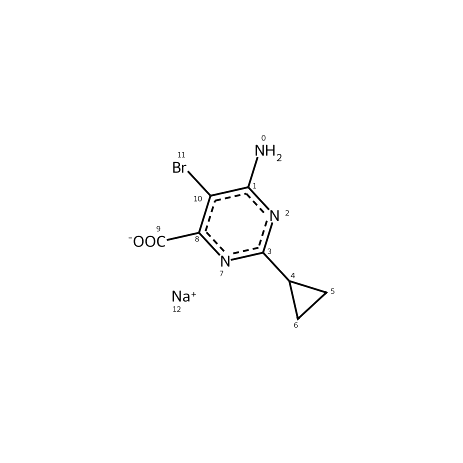 Nc1nc(C2CC2)nc(C(=O)[O-])c1Br.[Na+]